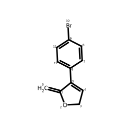 C=C1OCC=C1c1ccc(Br)cc1